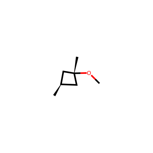 CO[C@]1(C)C[C@@H](C)C1